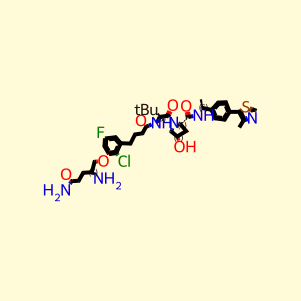 Cc1ncsc1-c1ccc([C@H](C)NC(=O)[C@@H]2C[C@@H](O)CN2C(=O)[C@@H](NC(=O)CCCc2cc(F)cc(OC[C@@H](N)CCC(N)=O)c2Cl)C(C)(C)C)cc1